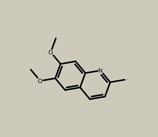 [CH2]c1ccc2cc(OC)c(OC)cc2n1